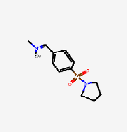 C/[N+](=C/c1ccc(S(=O)(=O)N2CCCC2)cc1)C(C)(C)C